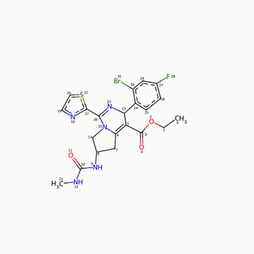 CCOC(=O)C1=C2CC(NC(=O)NC)CN2C(c2nccs2)=NC1c1ccc(F)cc1Br